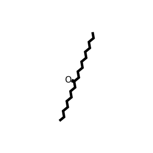 CCCCCCCCCCC(=O)CCCCCCCC